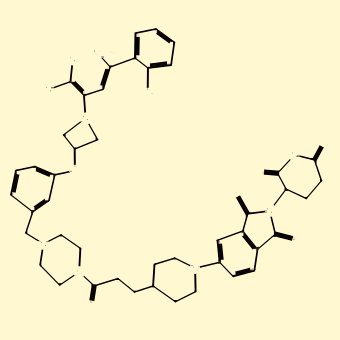 CN/C(=C\C(=C(N)N)N1CC(Oc2cccc(CN3CCN(C(=O)CCC4CCN(c5ccc6c(c5)C(=O)N(C5CCC(=O)NC5=O)C6=O)CC4)CC3)c2)C1)c1ccccc1O